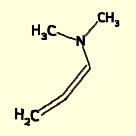 C=C=CN(C)C